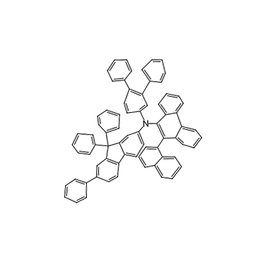 c1ccc(-c2ccc3c(c2)C(c2ccccc2)(c2ccccc2)c2cc(N(c4ccc(-c5ccccc5)c(-c5ccccc5)c4)c4c(-c5cccc6ccccc56)c5ccccc5c5ccccc45)ccc2-3)cc1